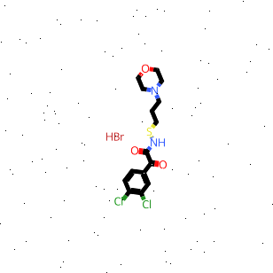 Br.O=C(NSCCCN1CCOCC1)C(=O)c1ccc(Cl)c(Cl)c1